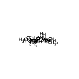 CC(=O)Nc1c(C)[nH]c(/C=C2\C(=O)Nc3cc(NC(=O)Nc4cc(C(C)(C)C)on4)ccc32)c1C